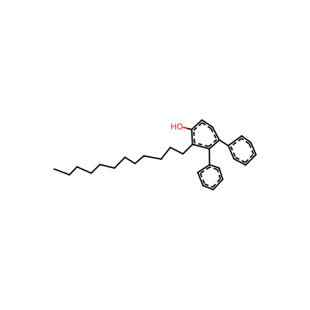 CCCCCCCCCCCCc1c(O)ccc(-c2ccccc2)c1-c1ccccc1